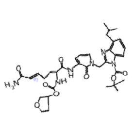 CC(C)Cc1cccc2c1nc(Cn1cccc(NC(=O)C(CC/C=C/C(N)=O)NC(=O)OC3CCOC3)c1=O)n2C(=O)OC(C)(C)C